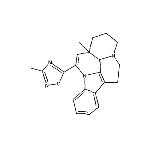 Cc1noc(C2=CC3(C)CCCN4CCc5c(n2c2ccccc52)C43)n1